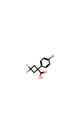 O=C(O)C1(c2ccc(Br)cc2)CC(F)(F)C1